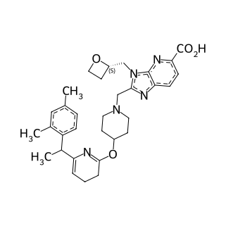 Cc1ccc(C(C)C2=CCCC(OC3CCN(Cc4nc5ccc(C(=O)O)nc5n4C[C@@H]4CCO4)CC3)=N2)c(C)c1